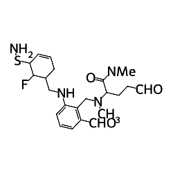 CNC(=O)C(CCC=O)N(C)Cc1c(C=O)cccc1NCC1CC=CC(SN)C1F